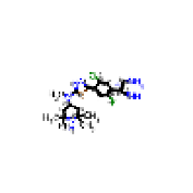 CN(c1nnc(-c2cc(F)c(/C(C=N)=C/N)cc2Cl)s1)C1CC(C)(C)NC(C)(C)C1